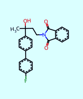 CC(O)(CCN1C(=O)c2ccccc2C1=O)c1ccc(-c2ccc(F)cc2)cc1